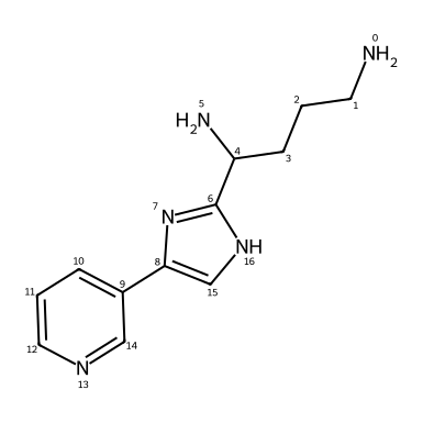 NCCCC(N)c1nc(-c2cccnc2)c[nH]1